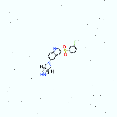 O=S(=O)(c1cccc(F)c1)c1cnc2ccc(N3C[C@H]4CNC[C@H]4C3)cc2c1